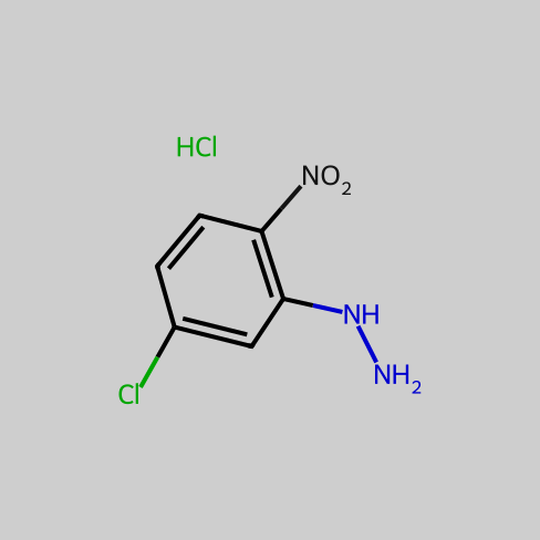 Cl.NNc1cc(Cl)ccc1[N+](=O)[O-]